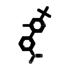 Cc1cc(C(C)(C)C)ncc1-c1cccc([N+](=O)[O-])c1